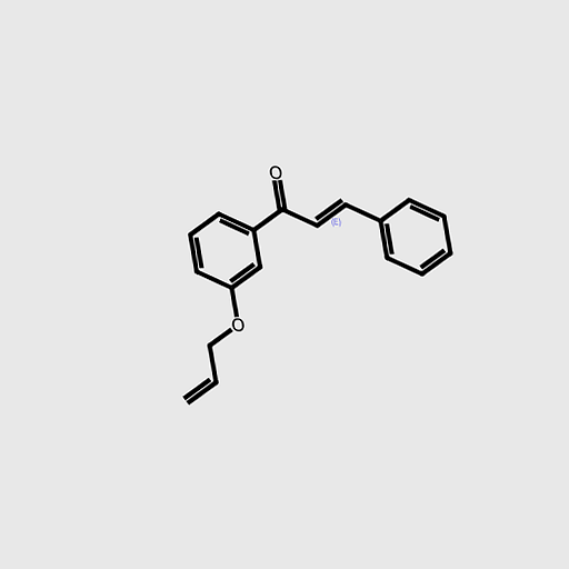 C=CCOc1cccc(C(=O)/C=C/c2ccccc2)c1